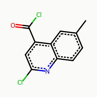 Cc1ccc2nc(Cl)cc(C(=O)Cl)c2c1